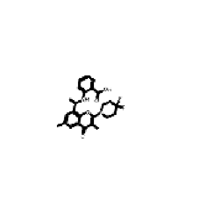 Cc1cc(C(C)Nc2ccccc2C(=O)O)c2oc(N3CCC(F)(F)CC3)c(C)c(=O)c2c1